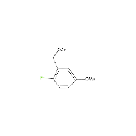 COc1ccc(F)c(COC(C)=O)c1